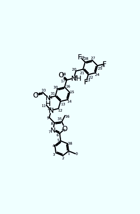 Cc1cccc(-c2nc(CN(C)Cc3ccc(C(=O)NCc4c(F)cc(F)cc4F)cc3NC=O)c(C)o2)c1